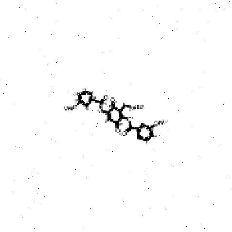 CCCCCCCCCCCC1=C(OC(=O)c2cccc(OC)c2)C(=O)C=C(OC(=O)c2cccc(OC)c2)C1=O